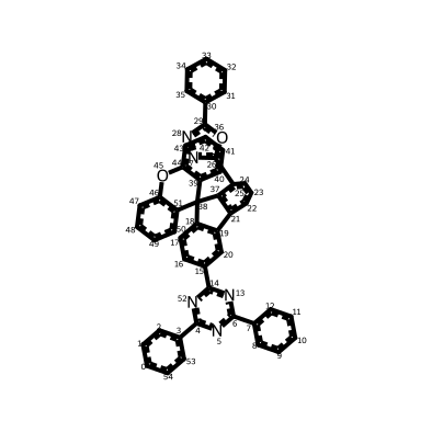 c1ccc(-c2nc(-c3ccccc3)nc(-c3ccc4c(c3)-c3cccc(-c5nnc(-c6ccccc6)o5)c3C43c4ccccc4Oc4ccccc43)n2)cc1